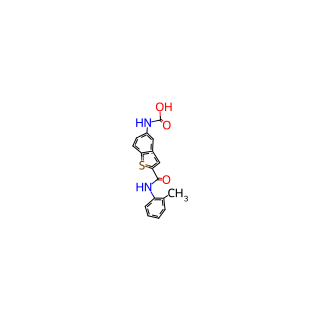 Cc1ccccc1NC(=O)c1cc2cc(NC(=O)O)ccc2s1